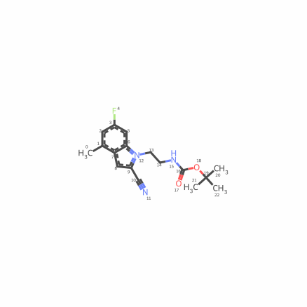 Cc1cc(F)cc2c1cc(C#N)n2CCNC(=O)OC(C)(C)C